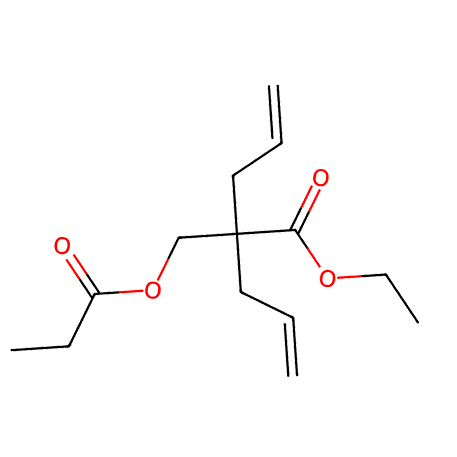 C=CCC(CC=C)(COC(=O)CC)C(=O)OCC